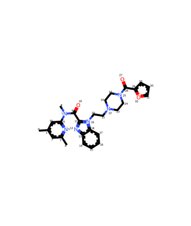 Cc1cc(C)nc(N(C)C(=O)c2nc3ccccc3n2CCN2CCN(C(=O)c3ccco3)CC2)c1